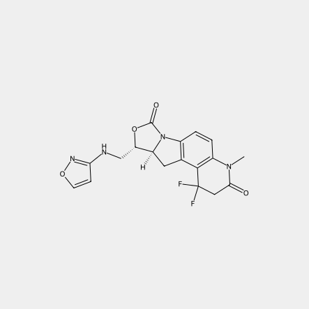 CN1C(=O)CC(F)(F)c2c1ccc1c2C[C@H]2[C@H](CNc3ccon3)OC(=O)N12